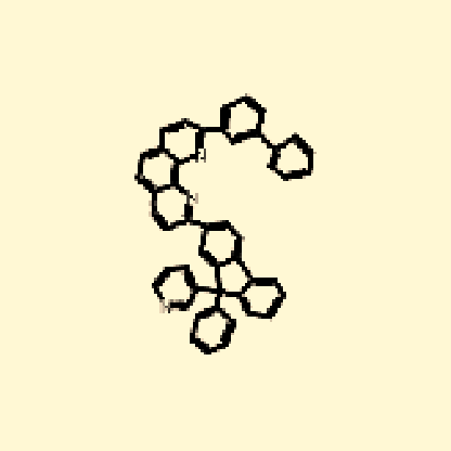 c1ccc(-c2cccc(-c3ccc4ccc5ccc(-c6ccc7c(c6)C(c6ccccc6)(c6cccnc6)c6ccccc6-7)nc5c4n3)c2)cc1